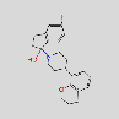 OC1(N2CCC(c3cccc4c3OCCC4)CC2)CCc2cc(F)ccc21